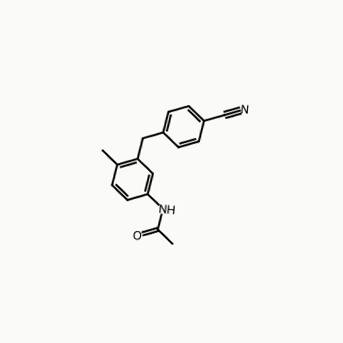 CC(=O)Nc1ccc(C)c(Cc2ccc(C#N)cc2)c1